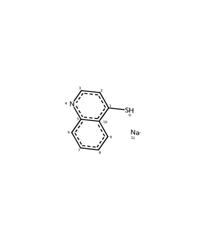 Sc1ccnc2ccccc12.[Na]